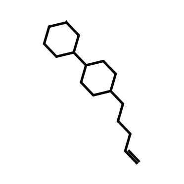 C=CCCCC1CCC(C2C[CH]CCC2)CC1